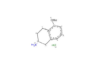 COc1cccc2c1CC[C@@H](N)C2.Cl